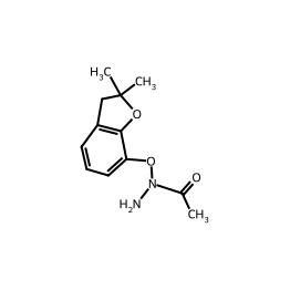 CC(=O)N(N)Oc1cccc2c1OC(C)(C)C2